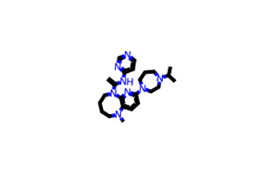 C=C(Nc1ccncn1)N1CCCCN(C)c2ccc(N3CCCN(C(C)C)CC3)nc21